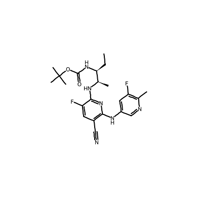 CC[C@H](NC(=O)OC(C)(C)C)[C@@H](C)Nc1nc(Nc2cnc(C)c(F)c2)c(C#N)cc1F